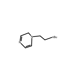 CCCCCCN1C=CN=CC1